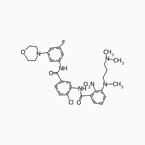 CN(C)CCCN(C)c1cccc(C(=O)Nc2cc(C(=O)Nc3cc(F)cc(N4CCOCC4)c3)ccc2Cl)c1[N+](=O)[O-]